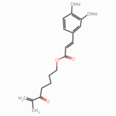 C=C(C)C(=O)CCCCOC(=O)/C=C/c1ccc(OC)c(OC)c1